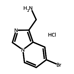 Cl.NCc1ncn2ccc(Br)cc12